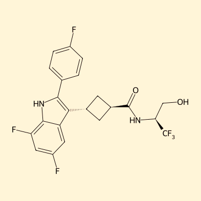 O=C(N[C@@H](CO)C(F)(F)F)[C@H]1C[C@H](c2c(-c3ccc(F)cc3)[nH]c3c(F)cc(F)cc32)C1